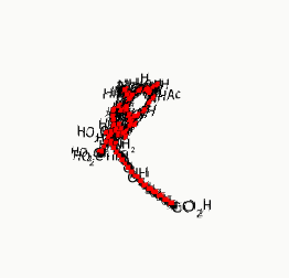 CC(=O)N[C@H]1CCCNC(=O)C[C@@H](C(=O)N2CCC[C@H]2C(=O)N2CCC[C@H]2C(=O)N[C@@H](Cc2c[nH]cn2)C(=O)N[C@@H](CCC(=O)O)C(=O)N[C@@H](CCCCN(CC(=O)O)CC(=O)O)C(=O)N[C@@H](CCCCNC(=O)COCCOCCNC(=O)CCCCCCCCCCCCCCCCC(=O)O)C(N)=O)NC(=O)[C@H](Cc2c[nH]c3ccccc23)NC(=O)[C@H](CCCNC(=N)N)NC(=O)CNC(=O)[C@H](Cc2c[nH]cn2)NC1=O